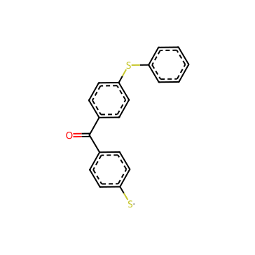 O=C(c1ccc([S])cc1)c1ccc(Sc2ccccc2)cc1